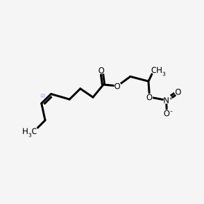 CC/C=C\CCCC(=O)OCC(C)O[N+](=O)[O-]